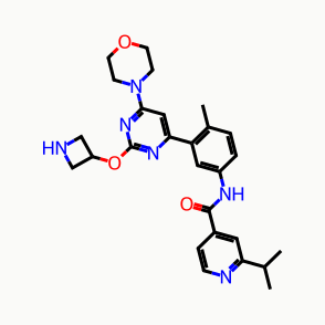 Cc1ccc(NC(=O)c2ccnc(C(C)C)c2)cc1-c1cc(N2CCOCC2)nc(OC2CNC2)n1